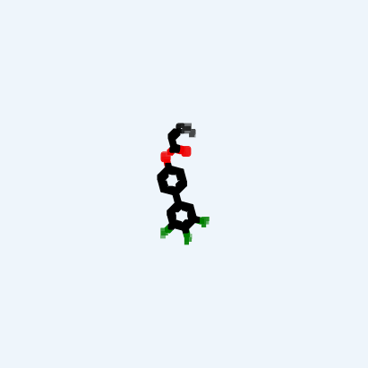 C=CC(=O)Oc1ccc(-c2cc(F)c(F)c(F)c2)cc1